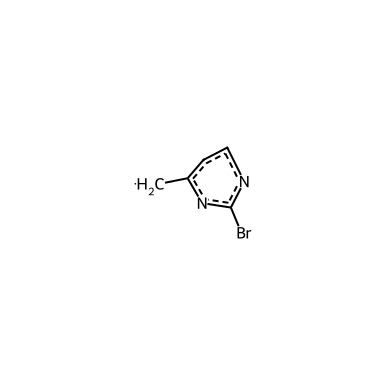 [CH2]c1ccnc(Br)n1